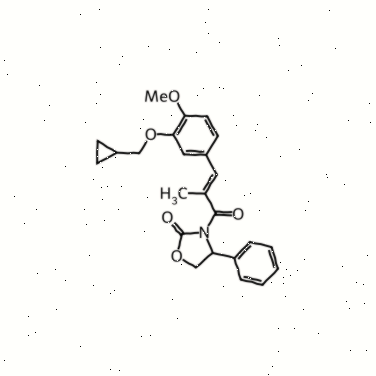 COc1ccc(/C=C(\C)C(=O)N2C(=O)OCC2c2ccccc2)cc1OCC1CC1